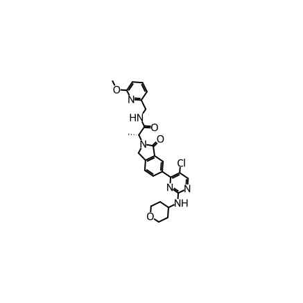 COc1cccc(CNC(=O)[C@@H](C)N2Cc3ccc(-c4nc(NC5CCOCC5)ncc4Cl)cc3C2=O)n1